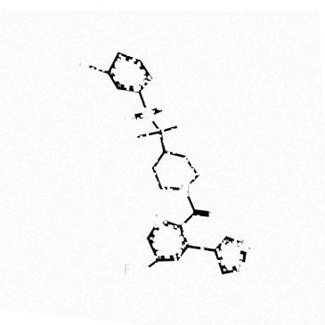 CC(C)(C1CCN(C(=O)c2ncc(C(F)(F)F)cc2-c2cn[nH]c2)CC1)S(=O)(=O)c1cccc(C(F)(F)F)c1